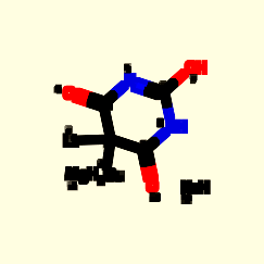 CCC(C)C1(CC)C(=O)N=C(O)NC1=O.[MgH2].[NaH]